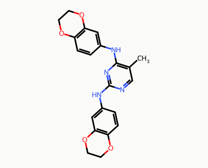 Cc1cnc(Nc2ccc3c(c2)OCCO3)nc1Nc1ccc2c(c1)OCCO2